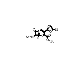 CCC1COC(C2=CN3C(=O)C(NC(C)=O)[C@H]3SC2C(=O)OC(C)(C)C)O1